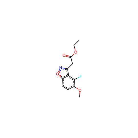 CCOC(=O)Cc1noc2ccc(OC)c(F)c12